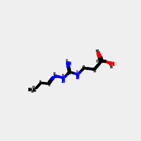 CCC=NNC(=N)NCCC(=O)O